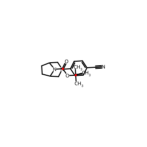 CC(C)(C)OC(=O)N1C2CCC1CN(c1ccc(C#N)cc1)C2